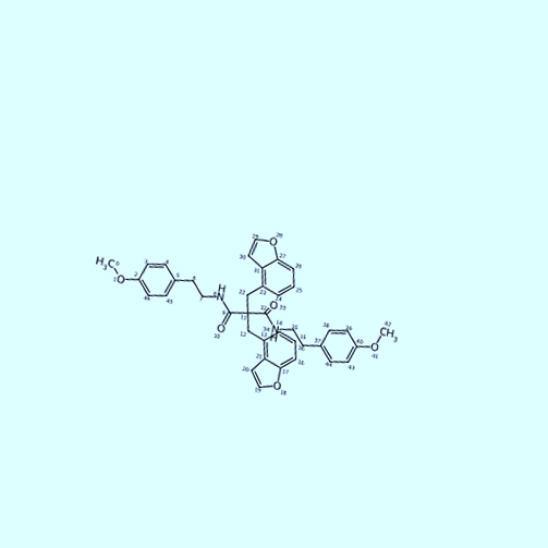 COc1ccc(CCNC(=O)C(Cc2cccc3occc23)(Cc2cccc3occc23)C(=O)NCCc2ccc(OC)cc2)cc1